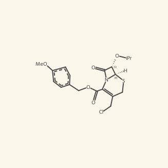 COc1ccc(COC(=O)C2=C(CCl)CS[C@@H]3[C@@H](OC(C)C)C(=O)N23)cc1